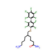 NCCCCC(CCCC(N)=O)CSc1c(F)c(F)c(-c2c(F)c(F)c(F)c(F)c2F)c(F)c1F